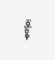 O=C(Nc1ccc(O)cn1)N1CCN(c2ccc(F)cn2)CC1